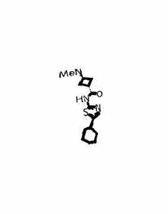 CN[C@H]1C[C@H](C(=O)Nc2ncc(C3CCCCC3)s2)C1